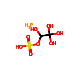 O=S(=O)(O)OC(O)C(O)(O)O.P